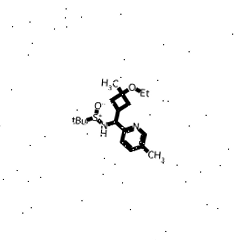 CCOC1(C)CC(C(N[S+]([O-])C(C)(C)C)c2ccc(C)cn2)C1